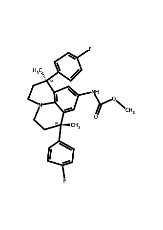 COC(=O)Nc1cc2c3c(c1)[C@](C)(c1ccc(F)cc1)CCN3CC[C@@]2(C)c1ccc(F)cc1